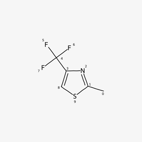 Cc1nc(C(F)(F)F)cs1